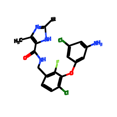 CCc1nc(C)c(C(=O)NCc2ccc(Cl)c(Oc3cc(N)cc(Cl)c3)c2F)[nH]1